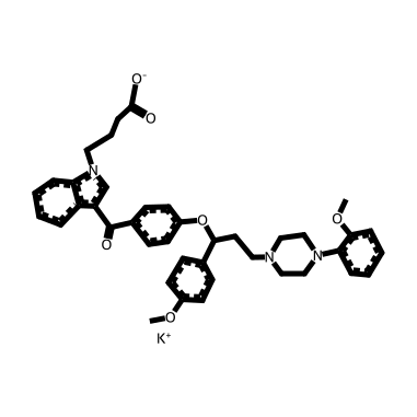 COc1ccc(C(CCN2CCN(c3ccccc3OC)CC2)Oc2ccc(C(=O)c3cn(CCCC(=O)[O-])c4ccccc34)cc2)cc1.[K+]